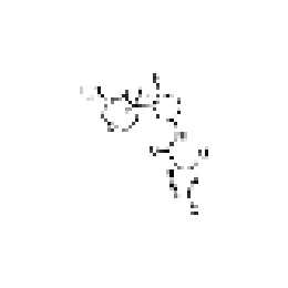 CC[C@@]1(c2cc(NC(=O)c3ncc(Cl)cc3Cl)ccc2F)CCOCC(N)=N1